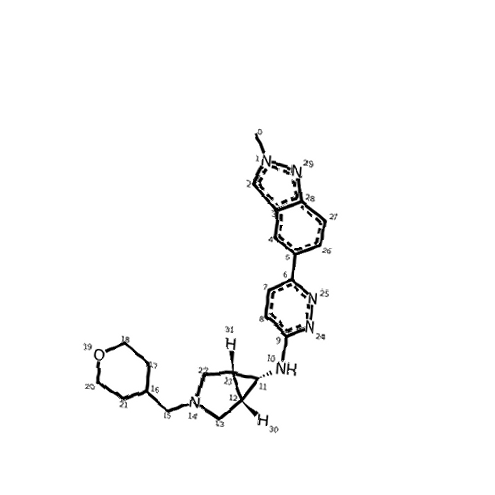 Cn1cc2cc(-c3ccc(N[C@@H]4[C@@H]5CN(CC6CCOCC6)C[C@@H]54)nn3)ccc2n1